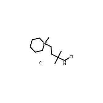 CC(C)(CC[N+]1(C)CCCCC1)NCl.[Cl-]